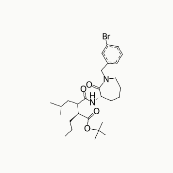 CCC[C@H](C(=O)OC(C)(C)C)C(CC(C)C)C(=O)N[C@H]1CCCCN(Cc2cccc(Br)c2)C1=O